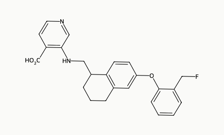 O=C(O)c1ccncc1NCC1CCCc2cc(Oc3ccccc3CF)ccc21